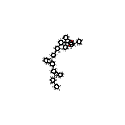 c1ccc(-c2ccc(-c3ccccc3C3(c4cccc(-c5ccc(-c6ccc(-n7c8ccccc8c8cc(-c9ccc%10c(c9)c9ccccc9n%10-c9cccc(-c%10ccccc%10)c9)ccc87)cc6)cc5)c4)c4ccccc4-c4ccccc43)cc2)cc1